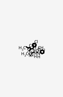 CCc1sc2c(c1C)C(c1ccc(Cl)cc1)=NC(NC(=O)Nc1ccccc1OC)c1nnc(C)n1-2